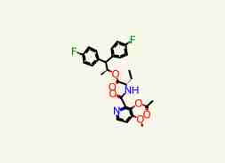 CC[C@H](NC(=O)c1nccc(OC)c1OC(C)=O)C(=O)O[C@@H](C)C(c1ccc(F)cc1)c1ccc(F)cc1